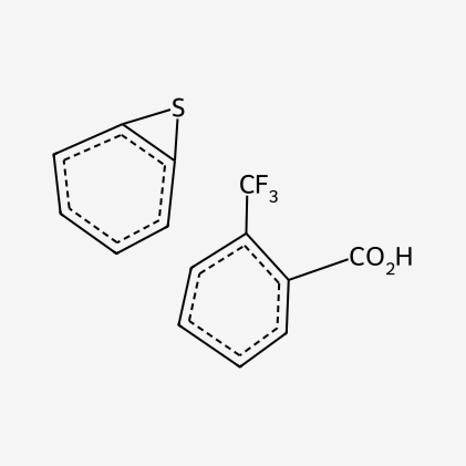 O=C(O)c1ccccc1C(F)(F)F.c1ccc2c(c1)S2